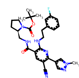 Cn1cc(-c2nc(NCCc3cccc(F)c3)c(C(=O)NC[C@H]3CCCN3C(=O)OC(C)(C)C)cc2C#N)cn1